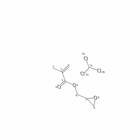 C=C(C)C(=O)OCC1CO1.ClC(Cl)Cl